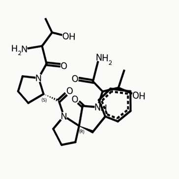 CC(O)C(N)C(=O)N1CCC[C@H]1C(=O)N1CCC[C@@]1(Cc1ccccc1)C(=O)NC(C(N)=O)C(C)O